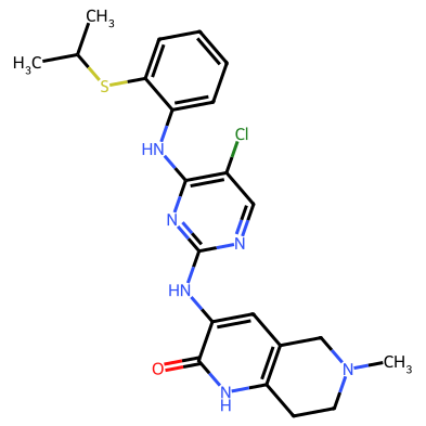 CC(C)Sc1ccccc1Nc1nc(Nc2cc3c([nH]c2=O)CCN(C)C3)ncc1Cl